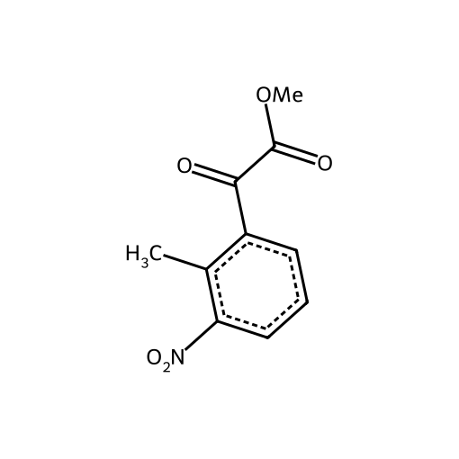 COC(=O)C(=O)c1cccc([N+](=O)[O-])c1C